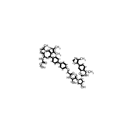 Cc1ncsc1-c1ccc([C@H](C)NC(=O)[C@@H]2C[C@@H](O)CN2C(=O)C(NC(=O)COc2ccc(-c3ccc(C4=NC(NC(=O)OC(C)(C)C)c5nnc(C)n5-c5sc(C)c(C)c54)cc3)cc2)C(C)(C)C)cc1